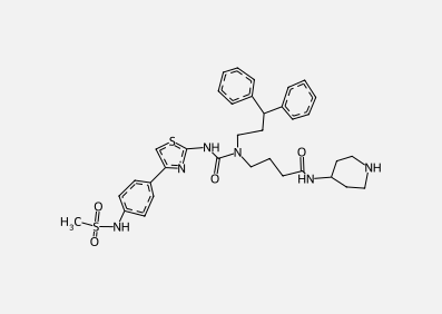 CS(=O)(=O)Nc1ccc(-c2csc(NC(=O)N(CCCC(=O)NC3CCNCC3)CCC(c3ccccc3)c3ccccc3)n2)cc1